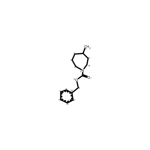 CC1CCCN(C(=O)OCc2ccccc2)CC1